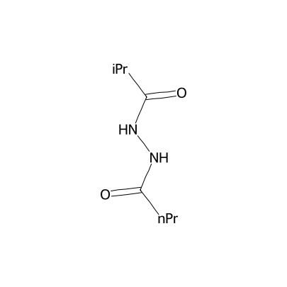 CCCC(=O)NNC(=O)C(C)C